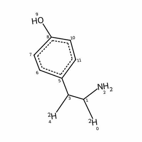 [2H]C(N)C([2H])c1ccc(O)cc1